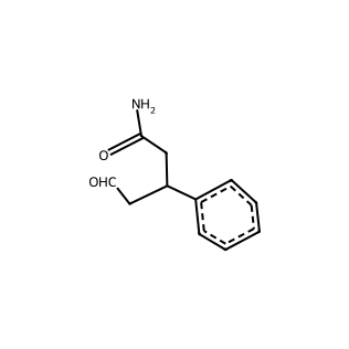 NC(=O)CC(CC=O)c1ccccc1